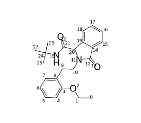 CCOc1ccccc1CCN1C(=O)c2ccccc2C1C(=O)NC(C)(C)C